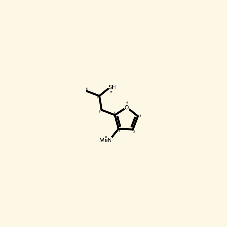 CNc1ccoc1CC(C)S